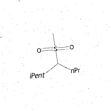 CCCC(C)C(CCC)S(C)(=O)=O